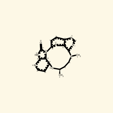 C[C@@H]1CCN(C)c2ncnc3ccc(nc23)-n2c(=O)[nH]c3nccc(c32)O1